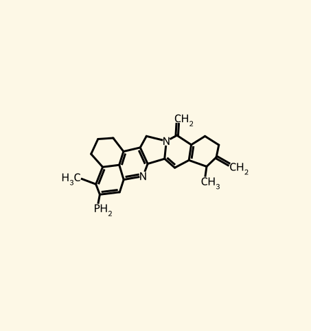 C=C1CCC2=C(C=C3c4nc5cc(P)c(C)c6c5c(c4CN3C2=C)CCC6)C1C